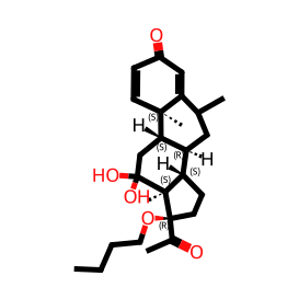 CCCCO[C@]1(C(C)=O)CC[C@H]2[C@@H]3CC(C)C4=CC(=O)C=C[C@]4(C)[C@H]3CC(O)(O)[C@@]21C